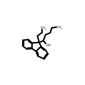 CCCCC(O)C1(CCC)c2ccccc2-c2ccccc21